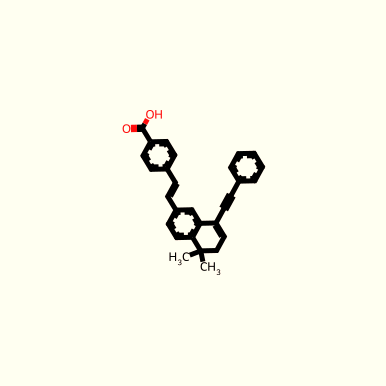 CC1(C)CC=C(C#Cc2ccccc2)c2cc(C=Cc3ccc(C(=O)O)cc3)ccc21